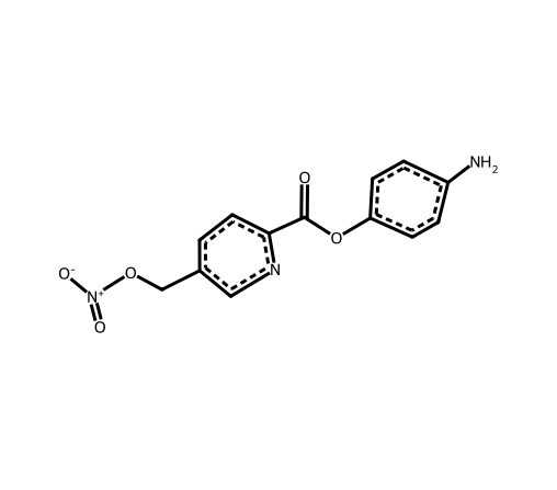 Nc1ccc(OC(=O)c2ccc(CO[N+](=O)[O-])cn2)cc1